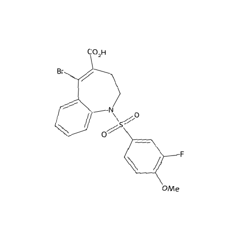 COc1ccc(S(=O)(=O)N2CCC(C(=O)O)=C(Br)c3ccccc32)cc1F